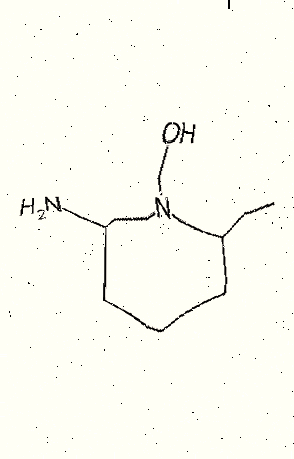 CC1CCCC(N)N1O